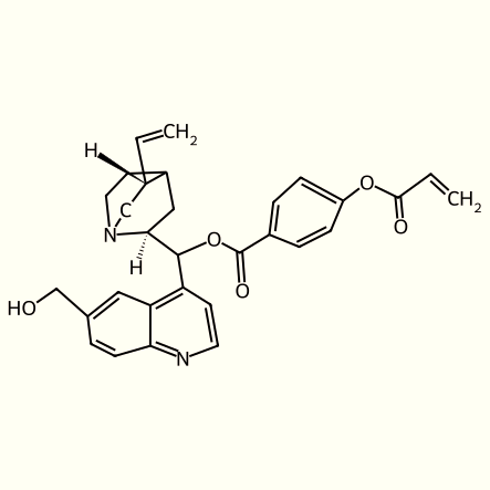 C=CC(=O)Oc1ccc(C(=O)OC(c2ccnc3ccc(CO)cc23)[C@@H]2CC3CCN2C[C@@H]3C=C)cc1